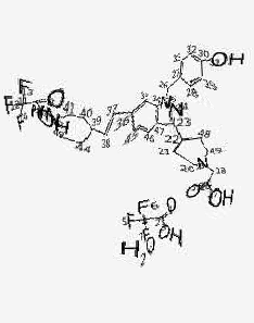 O.O=C(O)C(F)(F)F.O=C(O)C(F)(F)F.O=C(O)CN1CCC(c2nn(Cc3ccc(O)cc3)c3cc(/C=C/C4CCNCC4)ccc23)CC1